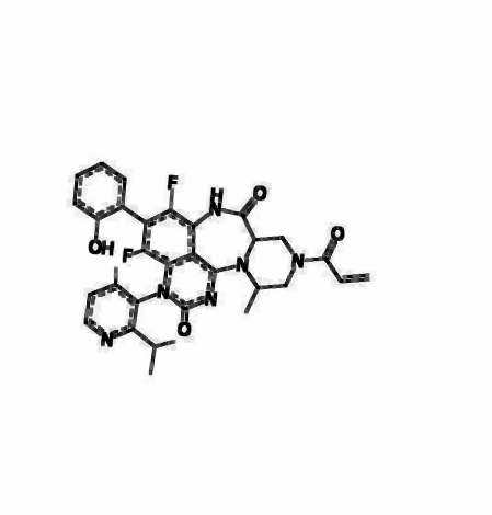 C=CC(=O)N1CC(C)N2c3nc(=O)n(-c4c(C)ccnc4C(C)C)c4c(F)c(-c5ccccc5O)c(F)c(c34)NC(=O)C2C1